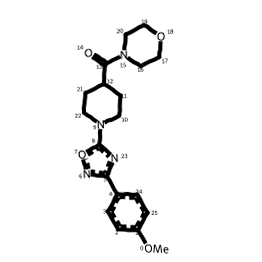 COc1ccc(-c2noc(N3CCC(C(=O)N4CCOCC4)CC3)n2)cc1